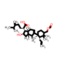 C=CC[C@H]1C(C)(C)C(COC=O)CC[C@]1(C)C1=CC[C@]2(C)[C@@H]([C@@H](CCC(=C)C(C)C)C(=O)O)[C@H](O)C[C@@]2(C)[C@@H]1C